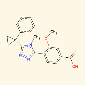 COc1cc(C(=O)O)ccc1-c1nnc(C2(c3ccccc3)CC2)n1C